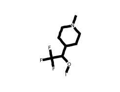 CN1CCC(C(OI)C(F)(F)F)CC1